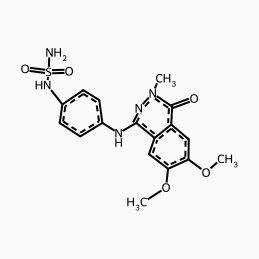 COc1cc2c(Nc3ccc(NS(N)(=O)=O)cc3)nn(C)c(=O)c2cc1OC